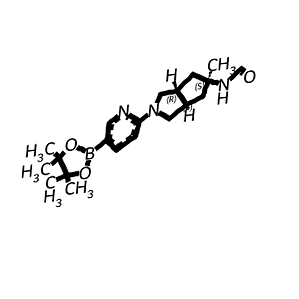 CC1(C)OB(c2ccc(N3C[C@@H]4C[C@@](C)(NC=O)C[C@@H]4C3)nc2)OC1(C)C